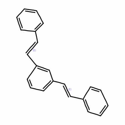 C(=C\c1cccc(/C=C/c2ccccc2)c1)/c1ccccc1